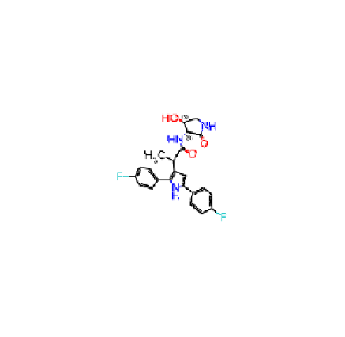 CC(C(=O)N[C@H]1C(=O)NC[C@@H]1O)c1cc(-c2ccc(F)cc2)[nH]c1-c1ccc(F)cc1